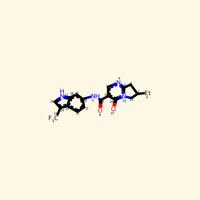 CCC1Cc2ncc(C(=O)Nc3ccc4c(C(F)(F)F)c[nH]c4c3)c(=O)n2C1